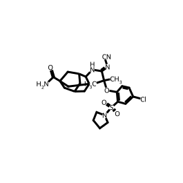 CC(C)(Oc1ccc(Cl)cc1S(=O)(=O)N1CCCC1)/C(=N/C#N)NC1C2CC3CC1CC(C(N)=O)(C3)C2